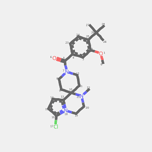 COc1cc(C(=O)N2CCC3(CC2)c2ccc(Cl)n2CCN3C)ccc1C(C)(C)C